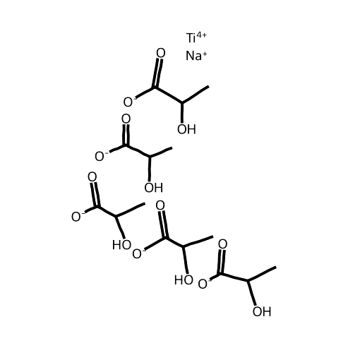 CC(O)C(=O)[O-].CC(O)C(=O)[O-].CC(O)C(=O)[O-].CC(O)C(=O)[O-].CC(O)C(=O)[O-].[Na+].[Ti+4]